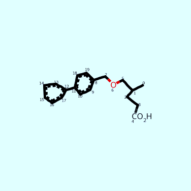 CC(CCC(=O)O)COCc1ccc(-c2ccccc2)cc1